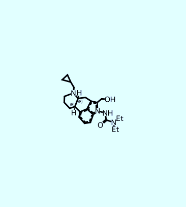 CCN(CC)C(=O)Nn1c(CO)c2c3c(cccc31)[C@H]1CCCN(CC3CC3)[C@@H]1C2